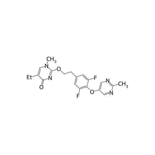 CCc1cn(C)c(OCCc2cc(F)c(Oc3cnc(C)nc3)c(F)c2)nc1=O